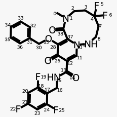 CN1CCC(F)(F)CCNn2cc(C(=O)NCc3c(F)cc(F)cc3F)c(=O)c(OCc3ccccc3)c2C1=O